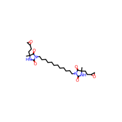 CC1(CCC2CO2)NC(=O)N(CCCCCCCCCCCCN2C(=O)NC(C)(CCC3CO3)C2=O)C1=O